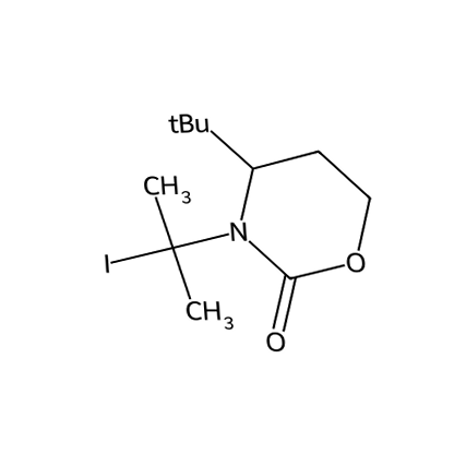 CC(C)(C)C1CCOC(=O)N1C(C)(C)I